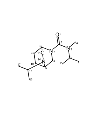 CC(C)N(C)C(=O)N1CC2CCC1CN2C(C)C